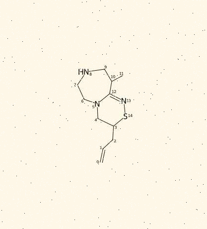 C=CCC1CN2CCNCC(C)C2=NS1